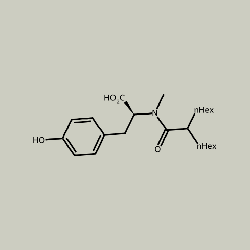 CCCCCCC(CCCCCC)C(=O)N(C)[C@@H](Cc1ccc(O)cc1)C(=O)O